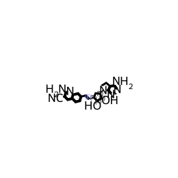 N#Cc1cc2ccc(/C=C/[C@H]3C[C@@H](N4CCc5c(N)ncnc54)[C@H](O)[C@@H]3O)cc2nc1N